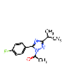 CC(=O)n1nc(C(C)C)nc1-c1ccc(F)cc1